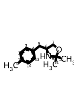 Cc1ccc(CC2COC(C)(C)N2)cc1